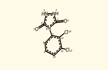 O=c1[nH][nH]c(=O)n1-c1cccc(Cl)c1Cl